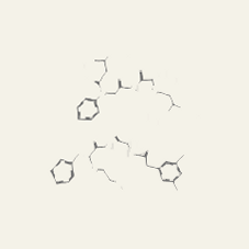 CC(C)CN[C@@H](C)C(=O)NC(=O)CN(C(=O)CC(C)C)c1ccccc1.COCCN[C@@H](Cc1ccccc1)C(=O)NC(=O)[C@H](C)NC(=O)Cc1cc(F)cc(F)c1